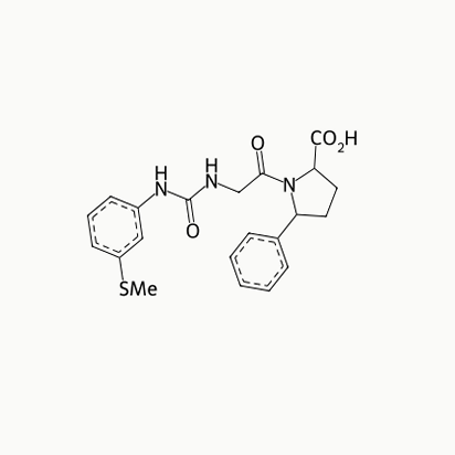 CSc1cccc(NC(=O)NCC(=O)N2C(C(=O)O)CCC2c2ccccc2)c1